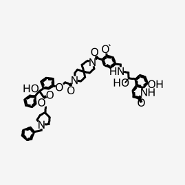 COc1cc(CNC[C@H](O)c2ccc(O)c3[nH]c(=O)ccc23)ccc1C(=O)N1CCC2(CCN(C(=O)COc3cccc(C(O)(C(=O)OCC4CCN(Cc5ccccc5)CC4)c4ccccc4)c3)CC2)CC1